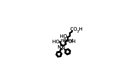 CCCCC[C@H](O)c1nc(-c2ccccc2)n(-c2ccccc2)c1/C=C/[C@@H](O)[C@@H](O)CCCC(=O)O